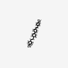 Brc1ccc(C=Cc2ccc(-c3ccc(C=Cc4ccc(Br)cc4)cc3)cc2)cc1